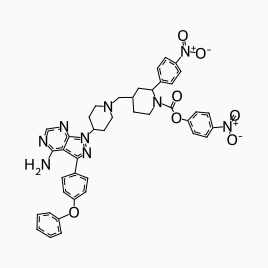 Nc1ncnc2c1c(-c1ccc(Oc3ccccc3)cc1)nn2C1CCN(CC2CCN(C(=O)Oc3ccc([N+](=O)[O-])cc3)C(c3ccc([N+](=O)[O-])cc3)C2)CC1